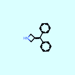 c1ccc(C(=C2CNC2)c2ccccc2)cc1